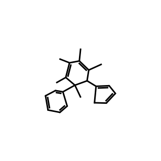 CC1=C(C)C(C2=CC=CC2)C(C)(c2ccccc2)C(C)=C1C